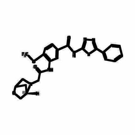 O=C(CN1CC2C[C@H]1CO2)Nc1cc(C(=O)Nc2nnc(-c3ccccc3)s2)ccc1OC(F)(F)F